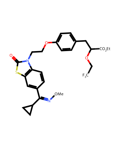 CCOC(=O)C(Cc1ccc(OCCn2c(=O)sc3cc(/C(=N\OC)C4CC4)ccc32)cc1)OCC(F)(F)F